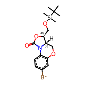 CC(C)(C)[Si](C)(C)OC[C@@H]1OC(=O)N2c3ccc(Br)cc3OC[C@@H]12